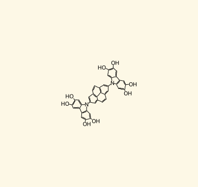 Oc1cc2c3cc(O)c(O)cc3n(-c3cc4ccc5cc(-n6c7cc(O)c(O)cc7c7cc(O)c(O)cc76)cc6ccc(c3)c4c56)c2cc1O